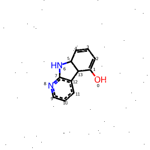 OC1=CC=CC2Nc3ncccc3C12